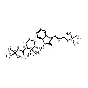 Cn1c(=O)n(COCC[Si](C)(C)C)c2cccc([C@H]3CCN(C(=O)OC(C)(C)C)C(C)(C)C3)c21